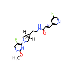 COc1ncc(F)c(N2C[C@@H]3C(CCNC(=O)/C=C/c4cncc(F)c4)[C@@H]3C2)n1